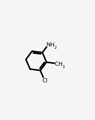 CC1=C(Cl)CCC=C1N